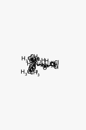 CC(C)(C)OC(=O)N=C(NCCCNC(=O)NCc1ccc(Cl)c(Cl)c1)NC(=O)OC(C)(C)C